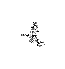 Cc1cnc(C(=O)NCCc2ccc(S(=O)(=O)NC(=O)NC3CCCCC3)cc2)cn1.NCCCC[C@H](N)C(=O)O